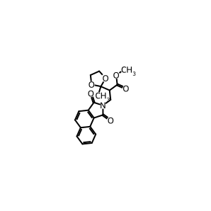 COC(=O)C(CN1C(=O)c2ccc3ccccc3c2C1=O)C1(C)OCCO1